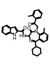 Cc1ccccc1C(=O)CN1C(=O)C(NC(=O)c2cc3ccccc3[nH]2)N=C(C2CCCCC2)c2cccc(C)c21